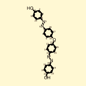 Oc1ccc(/N=N/c2ccc(Oc3ccc(/N=N/c4ccc(O)cc4)cc3)cc2)cc1